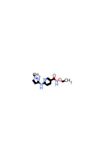 CCONC(=O)c1ccc(Nc2ccn(C)n2)nc1